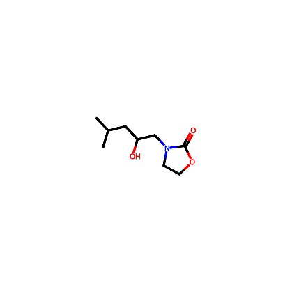 CC(C)CC(O)CN1CCOC1=O